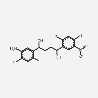 Nc1cc(C(O)CCC(O)c2cc([N+](=O)[O-])c(Cl)cc2F)c(F)cc1Cl